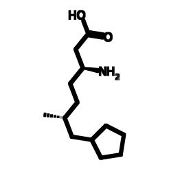 C[C@H](CC[C@H](N)CC(=O)O)CC1CCCC1